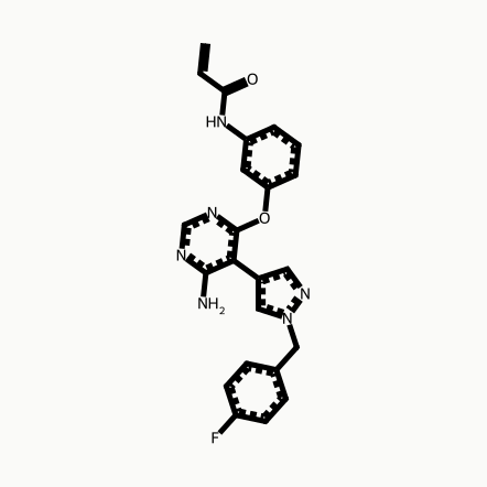 C=CC(=O)Nc1cccc(Oc2ncnc(N)c2-c2cnn(Cc3ccc(F)cc3)c2)c1